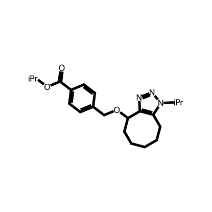 CC(C)OC(=O)c1ccc(COC2CCCCCc3c2nnn3C(C)C)cc1